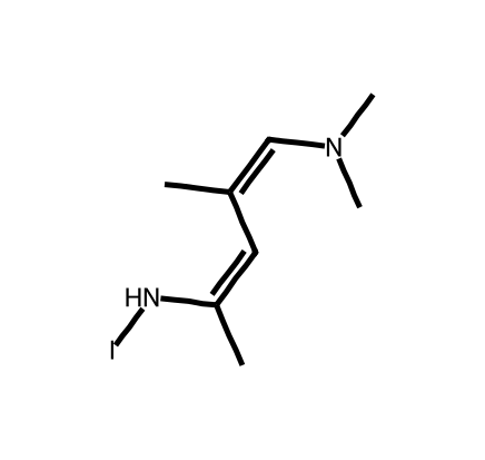 CC(=C/N(C)C)/C=C(/C)NI